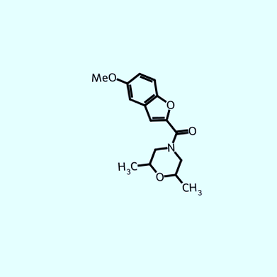 COc1ccc2oc(C(=O)N3CC(C)OC(C)C3)cc2c1